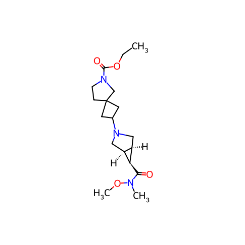 CCOC(=O)N1CCC2(CC(N3C[C@@H]4[C@H](C3)[C@@H]4C(=O)N(C)OC)C2)C1